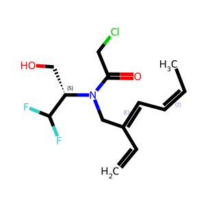 C=C/C(=C\C=C/C)CN(C(=O)CCl)[C@@H](CO)C(F)F